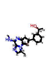 CNc1nc2cc(-c3cccc(C(C)O)c3)sc2n2c(C)cnc12